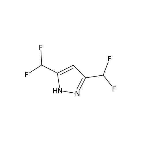 FC(F)c1cc(C(F)F)[nH]n1